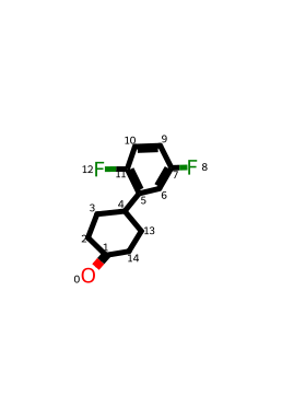 O=C1CCC(c2cc(F)ccc2F)CC1